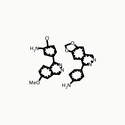 COc1ccc2c(-c3ccc(Cl)c(N)c3)nncc2c1.Nc1ccc(-c2nncc3cc4c(cc23)OCO4)cc1